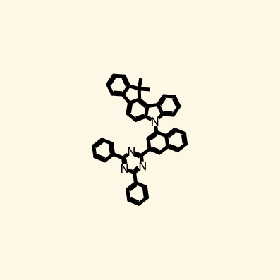 CC1(C)c2ccccc2-c2ccc3c(c21)c1ccccc1n3-c1cc(-c2nc(-c3ccccc3)nc(-c3ccccc3)n2)cc2ccccc12